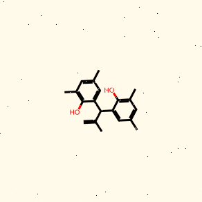 C=C(C)C(c1cc(C)cc(C)c1O)c1cc(C)cc(C)c1O